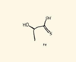 CC(O)C(O)=S.[Fe]